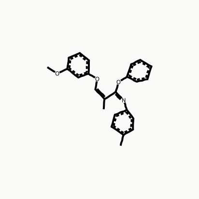 COc1cccc(OC=C(C)C(=Nc2ccc(C)cc2)Oc2ccccc2)c1